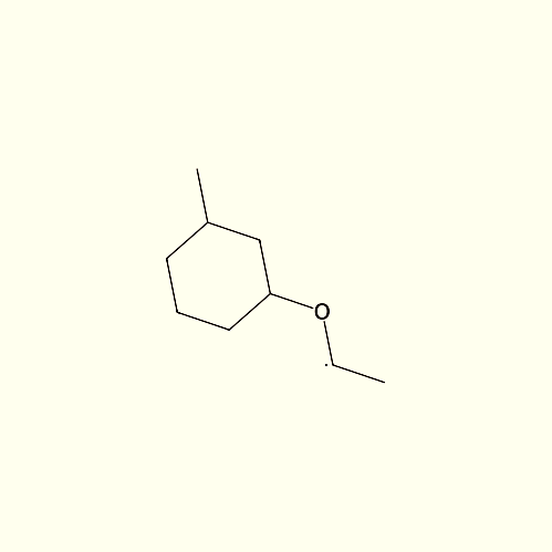 C[CH]OC1CCCC(C)C1